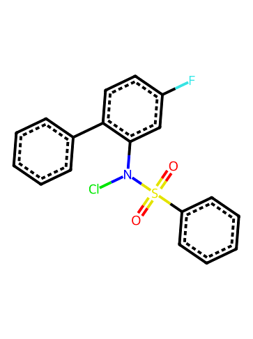 O=S(=O)(c1ccccc1)N(Cl)c1cc(F)ccc1-c1ccccc1